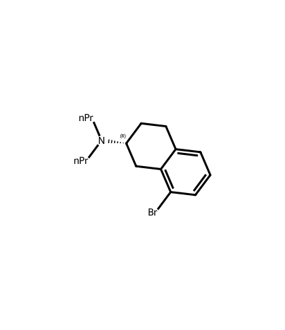 CCCN(CCC)[C@@H]1CCc2cccc(Br)c2C1